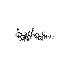 CNC(=O)c1ncn2c1CC[C@H](c1c(F)ccc(NS(=O)(=O)c3cc(F)cnc3OC)c1F)C2